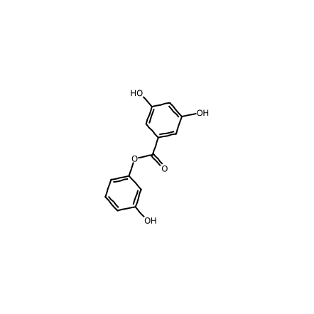 O=C(Oc1cccc(O)c1)c1cc(O)cc(O)c1